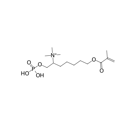 C=C(C)C(=O)OCCCCCC(COP(=O)(O)O)[N+](C)(C)C